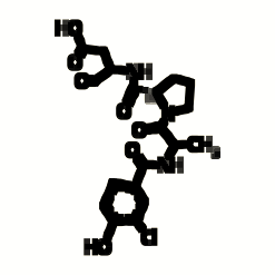 CC(NC(=O)c1ccc(O)c(Cl)c1)C(=O)N1CCC[C@H]1C(=O)NC(C=O)CC(=O)O